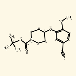 COc1ccc(C#N)cc1OC1CCN(C(=O)OC(C)(C)C)CC1